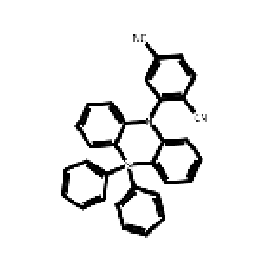 N#Cc1ccc(C#N)c(N2c3ccccc3[Si](c3ccccc3)(c3ccccc3)c3ccccc32)c1